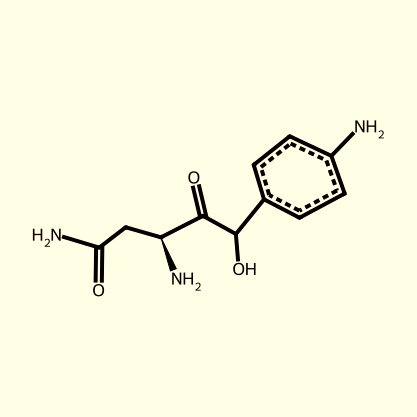 NC(=O)C[C@H](N)C(=O)C(O)c1ccc(N)cc1